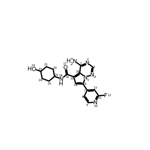 Nc1ncnn2c(-c3ccnc(F)c3)cc(C(=O)NC3CCC(O)CC3)c12